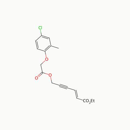 CCOC(=O)C=CC#CCOC(=O)COc1ccc(Cl)cc1C